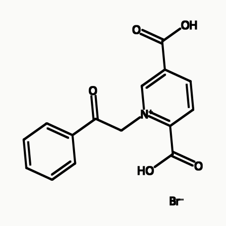 O=C(O)c1ccc(C(=O)O)[n+](CC(=O)c2ccccc2)c1.[Br-]